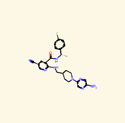 C[C@H](NC(=O)c1cc(C#N)cnc1NCC1CCN(c2cnc(N)cn2)CC1)c1ccc(F)cc1